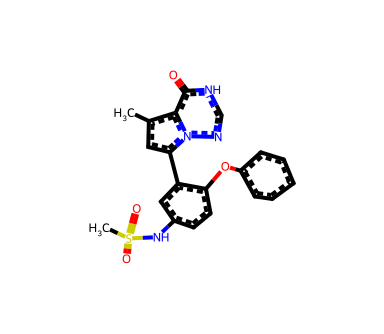 Cc1cc(-c2cc(NS(C)(=O)=O)ccc2Oc2ccccc2)n2nc[nH]c(=O)c12